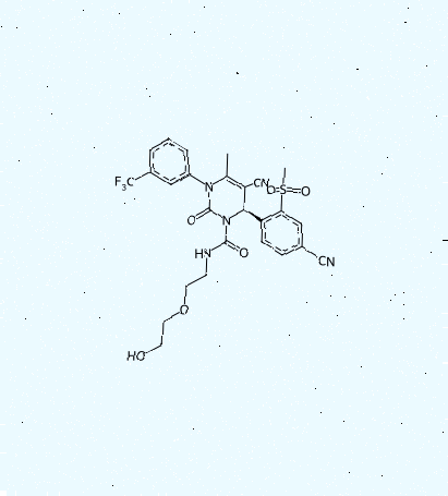 CC1=C(C#N)[C@@H](c2ccc(C#N)cc2S(C)(=O)=O)N(C(=O)NCCOCCO)C(=O)N1c1cccc(C(F)(F)F)c1